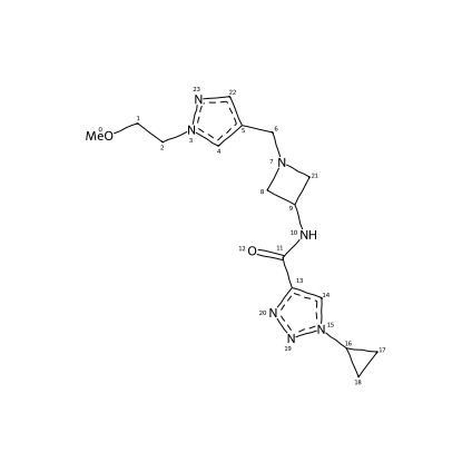 COCCn1cc(CN2CC(NC(=O)c3cn(C4CC4)nn3)C2)cn1